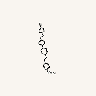 CCCCCc1ccc(CCC2C=CC(c3ccc(COc4ccc(CC)cc4)cc3)CC2)cc1